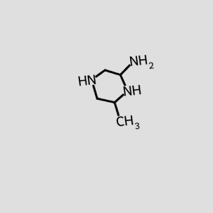 CC1CNCC(N)N1